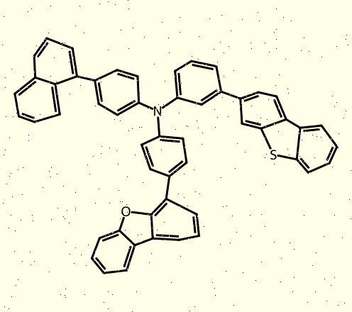 c1cc(-c2ccc3c(c2)sc2ccccc23)cc(N(c2ccc(-c3cccc4ccccc34)cc2)c2ccc(-c3cccc4c3oc3ccccc34)cc2)c1